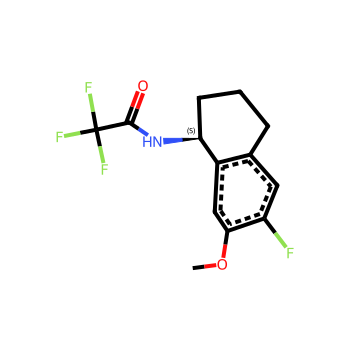 COc1cc2c(cc1F)CCC[C@@H]2NC(=O)C(F)(F)F